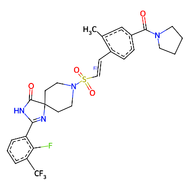 Cc1cc(C(=O)N2CCCC2)ccc1/C=C/S(=O)(=O)N1CCC2(CC1)N=C(c1cccc(C(F)(F)F)c1F)NC2=O